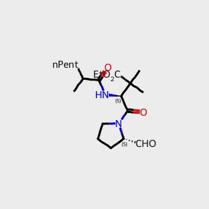 CCCCCC(C)C(=O)N[C@H](C(=O)N1CCC[C@H]1C=O)C(C)(C)C(=O)OCC